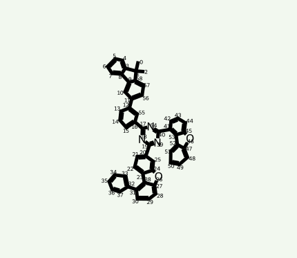 CC1(C)c2ccccc2-c2cc(-c3cccc(-c4nc(-c5ccc6c(c5)oc5cccc(-c7ccccc7)c56)nc(-c5cccc6oc7ccccc7c56)n4)c3)ccc21